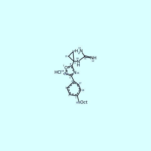 CCCCCCCCc1ccc(-c2noc(C3(NC(=N)N)CC3)n2)cc1.Cl